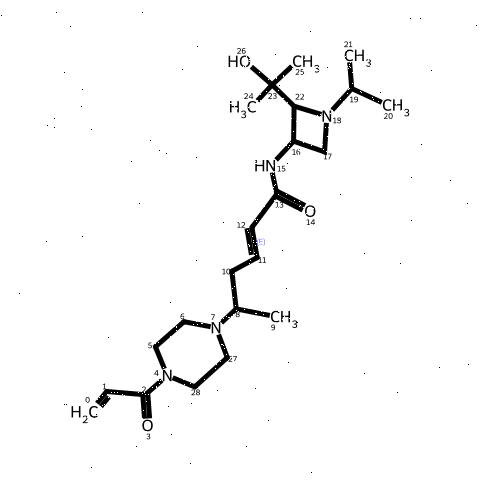 C=CC(=O)N1CCN(C(C)C/C=C/C(=O)NC2CN(C(C)C)C2C(C)(C)O)CC1